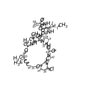 CC[C@H]1C[C@@]1(NC(=O)C1C[C@@H]2CN1C(=O)[C@H](C(C)(C)C)NC(=O)OCC(C)(C)CCCCOc1ccc(Cl)c3c1CN(C3)C(=O)O2)C(=O)NS(=O)(=O)C1CC1